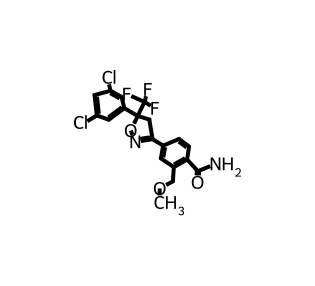 COCc1cc(C2=NOC(c3cc(Cl)cc(Cl)c3)(C(F)(F)F)C2)ccc1C(N)=O